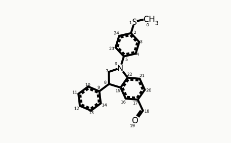 CSc1ccc(N2CC(c3ccccc3)c3cc(C=O)ccc32)cc1